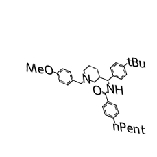 CCCCCc1ccc(C(=O)NC(c2ccc(C(C)(C)C)cc2)C2CCCN(Cc3ccc(OC)cc3)C2)cc1